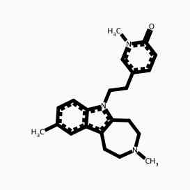 Cc1ccc2c(c1)c1c(n2CCc2ccc(=O)n(C)c2)CCN(C)CC1